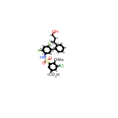 COc1c(Cl)cc(C(=O)O)cc1S(=O)(=O)Nc1cc(-c2ccccc2C(C)CCO)c(F)cc1F